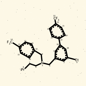 CCc1cc(CN(CCC(C)C)Cc2ccc(C(F)(F)F)cc2)cc(-c2ccc(C(F)(F)F)cc2)c1